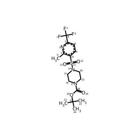 Cc1nc(C(F)(F)F)ccc1S(=O)(=O)N1CCN(C(=O)OC(C)(C)C)CC1